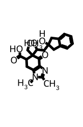 CCC1(C(O)CC2(O)Cc3ccccc3C2)C(=O)c2nc(C)n(C)c2CC1C(=O)O